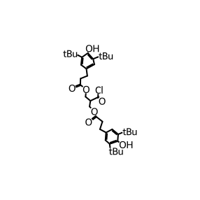 CC(C)(C)c1cc(CCC(=O)OCC(COC(=O)CCc2cc(C(C)(C)C)c(O)c(C(C)(C)C)c2)C(=O)Cl)cc(C(C)(C)C)c1O